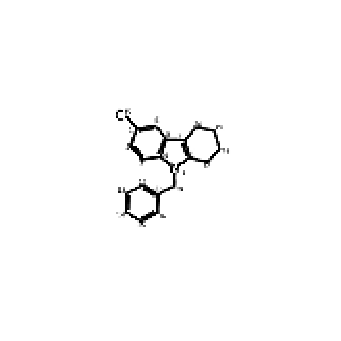 Clc1ccc2c(c1)c1c(n2Cc2ccccc2)CCCC1